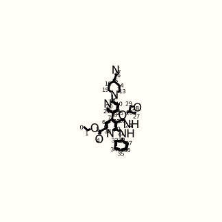 CCOC(=O)c1cc(-c2ccc(N3CCC(C#N)CC3)nc2)c(C(=N)OC2COC2)c(Nc2ccccc2)n1